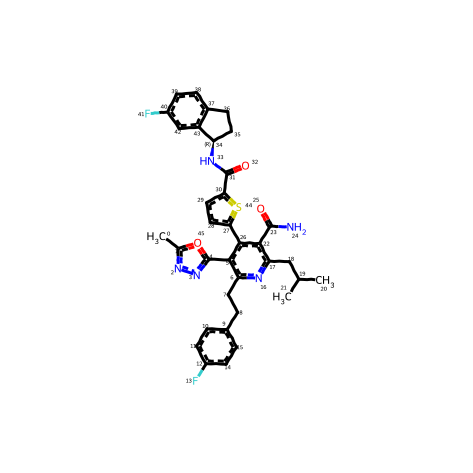 Cc1nnc(-c2c(CCc3ccc(F)cc3)nc(CC(C)C)c(C(N)=O)c2-c2ccc(C(=O)N[C@@H]3CCc4ccc(F)cc43)s2)o1